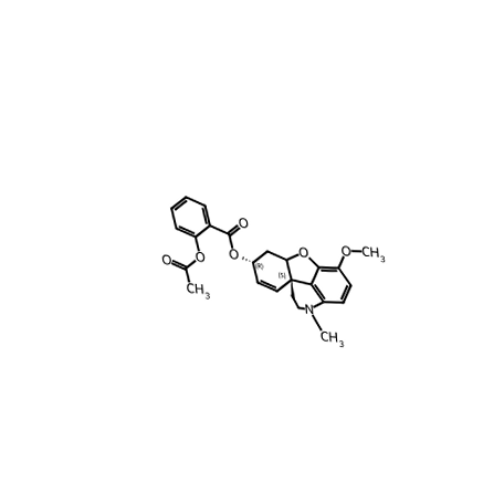 COc1ccc2c3c1OC1C[C@@H](OC(=O)c4ccccc4OC(C)=O)C=C[C@@]31CCN2C